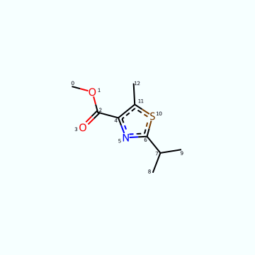 COC(=O)c1nc(C(C)C)sc1C